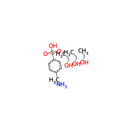 CCO.CCO.CCO.Cc1ccc(S(=O)(=O)O)cc1.N